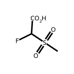 CS(=O)(=O)C(F)C(=O)O